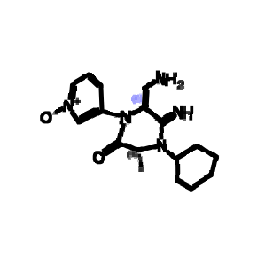 C[C@@H]1C(=O)N(c2ccc[n+]([O-])c2)/C(=C/N)C(=N)N1C1CCCCC1